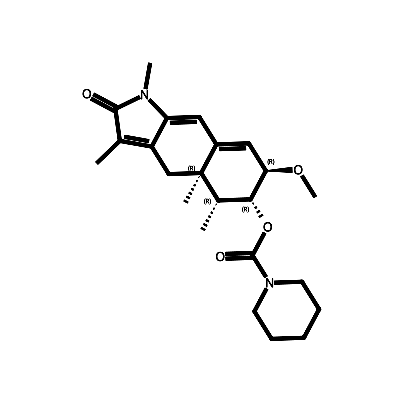 CO[C@@H]1C=C2C=C3C(=C(C)C(=O)N3C)C[C@]2(C)[C@@H](C)[C@H]1OC(=O)N1CCCCC1